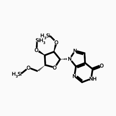 O=c1[nH]cnc2c1cnn2[C@@H]1O[C@H](CO[SiH3])[C@@H](O[SiH3])[C@H]1O[SiH3]